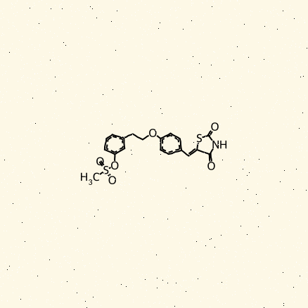 CS(=O)(=O)Oc1cccc(CCOc2ccc(/C=C3\SC(=O)NC3=O)cc2)c1